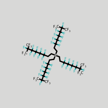 FC(F)(F)C(F)(C(F)(F)F)C(F)(F)C(F)(F)C(F)(F)C(F)(F)CC[B-](CCC(F)(F)C(F)(F)C(F)(F)C(F)(F)C(F)(C(F)(F)F)C(F)(F)F)(CCC(F)(F)C(F)(F)C(F)(F)C(F)(F)C(F)(C(F)(F)F)C(F)(F)F)CCC(F)(F)C(F)(F)C(F)(F)C(F)(F)C(F)(C(F)(F)F)C(F)(F)F